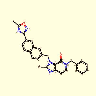 Cc1nc(-c2ccc3ccc(Cn4c(C(C)C)nc5ccn(Cc6ccccc6)c(=O)c54)cc3c2)no1